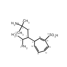 CC(P)C(CC(C)(C)N)C1C=CC=CC(S(=O)(=O)O)=C1